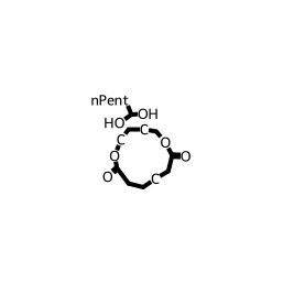 CCCCCC(O)O.O=C1CCCCC(=O)OCCCCO1